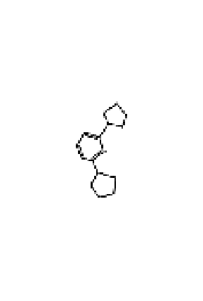 [c]1c(C2CCCC2)cccc1C1CCCC1